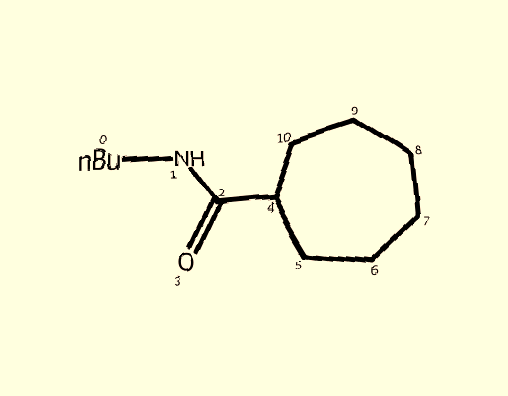 CCCCNC(=O)C1CCCCCC1